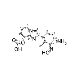 CC1=C(c2cn3cccc(OC(=O)O)c3n2)C=CC(N)C1=NO